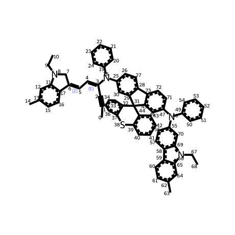 CC#C/C(=C\C=C1/CN(CC)c2cc(C)ccc21)N(c1ccccc1)c1ccc2c(c1)C1(c3ccccc3Sc3ccccc31)c1cc(N(c3ccccc3)c3ccc4c5ccc(C)cc5n(CC)c4c3)ccc1-2